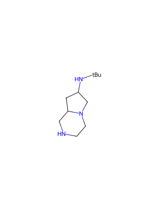 CC(C)(C)NC1CC2CNCCN2C1